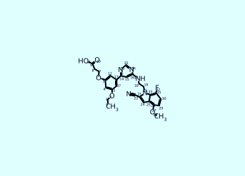 CCOc1cc(OCCC(=O)O)cc(-c2cc(NCCn3c(C#N)cc4c(OC)ccc(F)c43)ncn2)c1